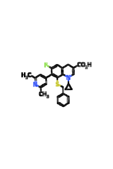 Cc1cc(-c2c(F)cc3c(c2SCc2ccccc2)N(C2CC2)C=C(C(=O)O)C3)cc(C)n1